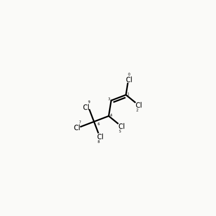 ClC(Cl)=CC(Cl)C(Cl)(Cl)Cl